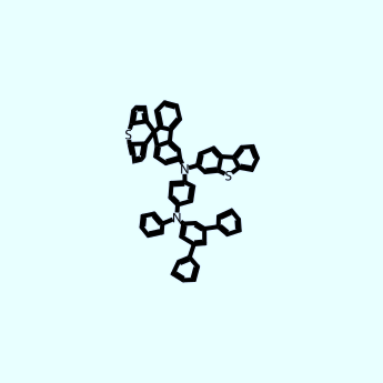 c1ccc(-c2cc(-c3ccccc3)cc(N(c3ccccc3)c3ccc(N(c4ccc5c(c4)-c4ccccc4C54c5ccccc5Sc5ccccc54)c4ccc5c(c4)sc4ccccc45)cc3)c2)cc1